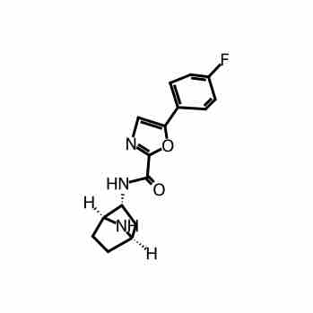 O=C(N[C@@H]1C[C@H]2CC[C@@H]1N2)c1ncc(-c2ccc(F)cc2)o1